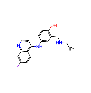 CC(C)CNCc1cc(Nc2ccnc3cc(I)ccc23)ccc1O